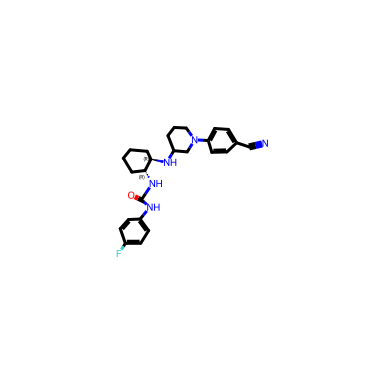 N#Cc1ccc(N2CCCC(N[C@@H]3CCCC[C@H]3NC(=O)Nc3ccc(F)cc3)C2)cc1